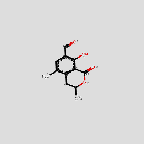 Cc1cc(C=O)c(O)c2c1CC(C)OC2=O